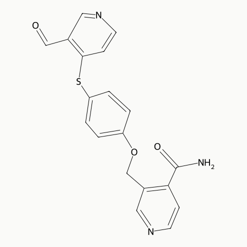 NC(=O)c1ccncc1COc1ccc(Sc2ccncc2C=O)cc1